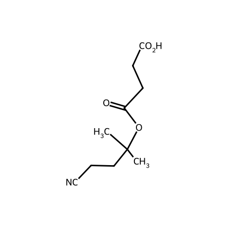 CC(C)(CCC#N)OC(=O)CCC(=O)O